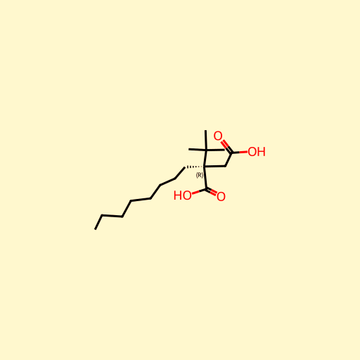 CCCCCCCC[C@](CC(=O)O)(C(=O)O)C(C)(C)C